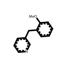 COc1c[c]ccc1Cc1cccnc1